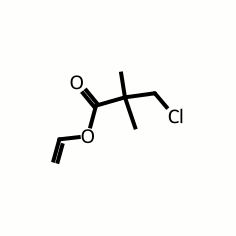 C=COC(=O)C(C)(C)CCl